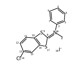 C[N+](c1ccccc1)=c1sc2ccc(Cl)cc2s1.[I-]